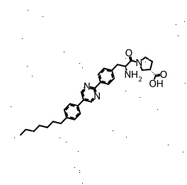 CCCCCCCc1ccc(-c2cnc(-c3ccc(C[C@H](N)C(=O)N4CC[C@H](C(=O)O)C4)cc3)nc2)cc1